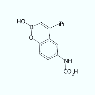 CC(C)C1=CB(O)Oc2ccc(NC(=O)O)cc21